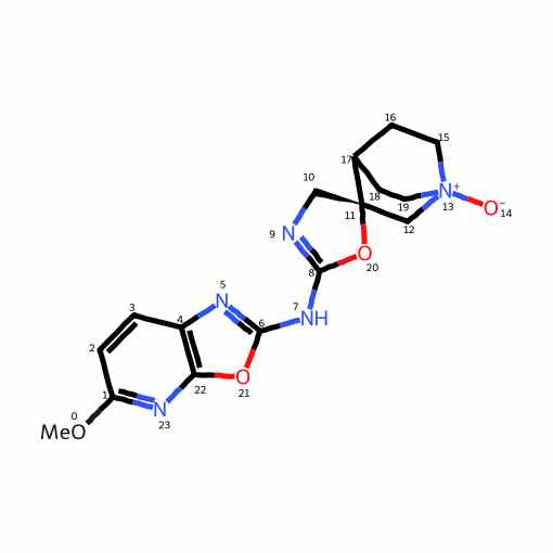 COc1ccc2nc(NC3=NC[C@@]4(C[N+]5([O-])CCC4CC5)O3)oc2n1